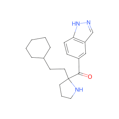 O=C(c1ccc2[nH]ncc2c1)C1(CCC2CCCCC2)CCCN1